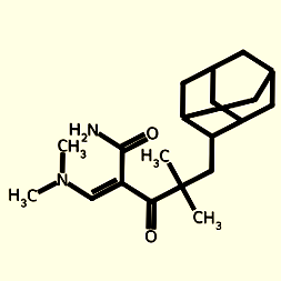 CN(C)C=C(C(N)=O)C(=O)C(C)(C)CC1C2CC3CC(C2)CC1C3